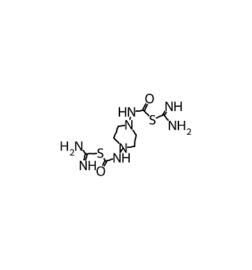 N=C(N)SC(=O)NN1CCN(NC(=O)SC(=N)N)CC1